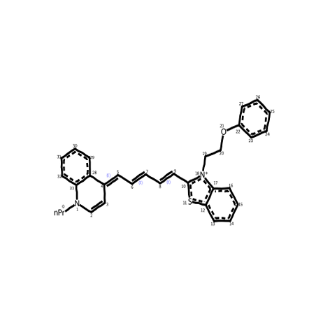 CCCN1C=C\C(=C/C=C/C=C/c2sc3ccccc3[n+]2CCOc2ccccc2)c2ccccc21